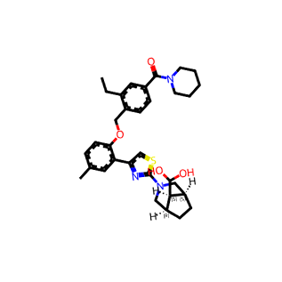 CCc1cc(C(=O)N2CCCCC2)ccc1COc1ccc(C)cc1-c1csc(N2C[C@H]3CC[C@@H](C2)[C@H]3C(O)O)n1